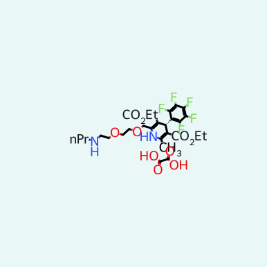 CCCNCCOCCOCC1=C(C(=O)OCC)[C@H](c2c(F)c(F)c(F)c(F)c2F)C(C(=O)OCC)=C(C)N1.O=C(O)C(=O)O